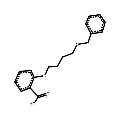 O=C(O)c1ccccc1OCCCCOCc1ccccc1